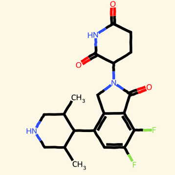 CC1CNCC(C)C1c1cc(F)c(F)c2c1CN(C1CCC(=O)NC1=O)C2=O